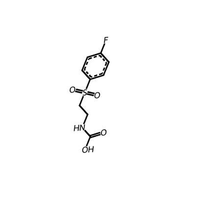 O=C(O)NCCS(=O)(=O)c1ccc(F)cc1